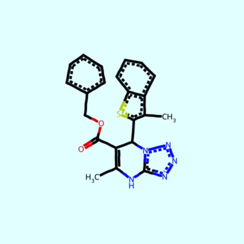 CC1=C(C(=O)OCc2ccccc2)C(c2sc3ccccc3c2C)n2nnnc2N1